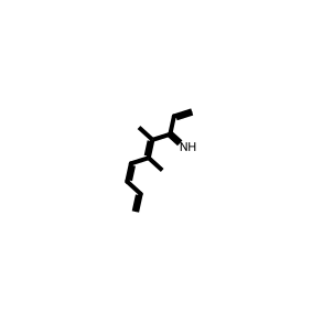 C=C/C=C\C(C)=C(/C)C(=N)C=C